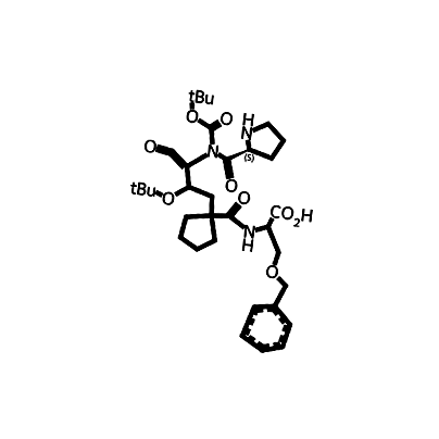 CC(C)(C)OC(=O)N(C(=O)[C@@H]1CCCN1)C(=C=O)C(CC1(C(=O)NC(COCc2ccccc2)C(=O)O)CCCC1)OC(C)(C)C